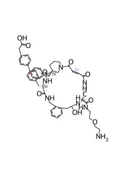 NCCOCCNC(=O)[C@@H]1CCNC(=O)/C=C/C(=O)N2CCC[C@](Cc3ccccc3)(C2)C(=O)N[C@@H](Cc2ccc(-c3ccc(CC(=O)O)cc3)cc2)C(=O)NCc2ccccc2CC(O)N1